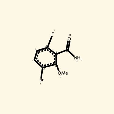 COc1c(Br)ccc(F)c1C(N)=O